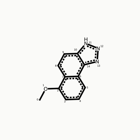 COc1cccc2c1ccc1[nH]nnc12